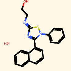 Br.OCCN=c1nc(-c2cccc3ccccc23)n(-c2ccccc2)s1